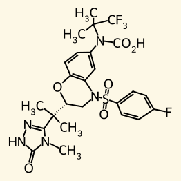 Cn1c(C(C)(C)[C@H]2CN(S(=O)(=O)c3ccc(F)cc3)c3cc(N(C(=O)O)C(C)(C)C(F)(F)F)ccc3O2)n[nH]c1=O